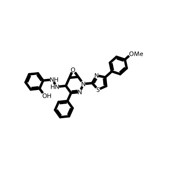 COc1ccc(-c2csc(N3N=C(c4ccccc4)C(NNc4ccccc4O)C4OC43)n2)cc1